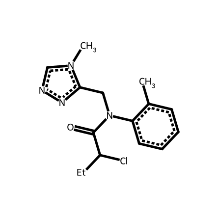 CCC(Cl)C(=O)N(Cc1nncn1C)c1ccccc1C